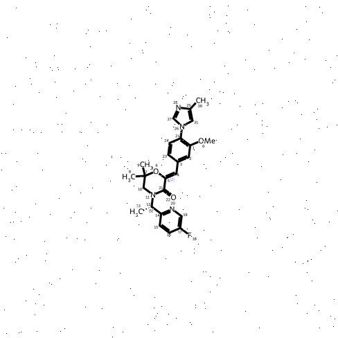 COc1cc(/C=C2\OC(C)(C)CN([C@@H](C)c3ccc(F)cn3)C2=O)ccc1-n1cnc(C)c1